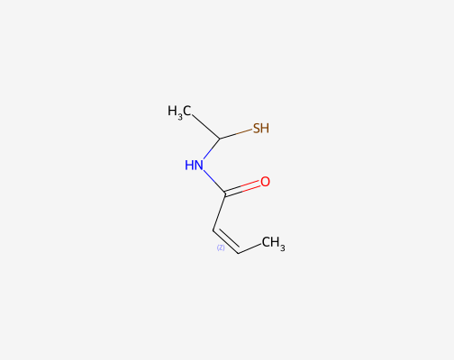 C/C=C\C(=O)NC(C)S